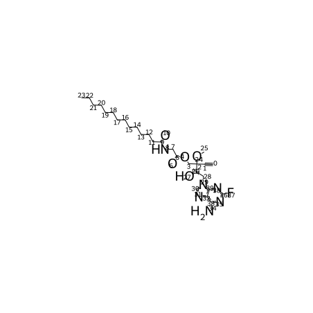 C#CC(COC(=O)CNC(=O)CCCCCCCCCCCCC)(OC)[C@@H](O)Cn1cnc2c(N)nc(F)nc21